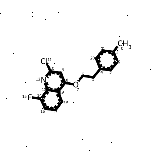 Cc1ccc(CCOc2cc(Cl)nc3c(F)cccc23)cc1